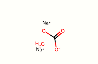 O.O=C([O-])[O-].[Na+].[Na+]